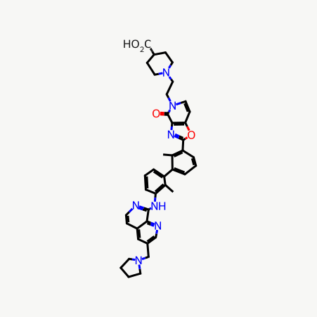 Cc1c(Nc2nccc3cc(CN4CCCC4)cnc23)cccc1-c1cccc(-c2nc3c(=O)n(CCN4CCC(C(=O)O)CC4)ccc3o2)c1C